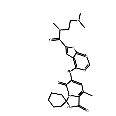 Cc1cc(Nc2ncnc3sc(C(=O)N(C)CCN(C)C)cc23)c(=O)n2c1C(=O)NC21CCCCC1